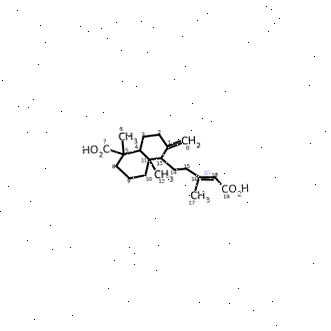 C=C1CCC2C(C)(C(=O)O)CCCC2(C)C1CC/C(C)=C/C(=O)O